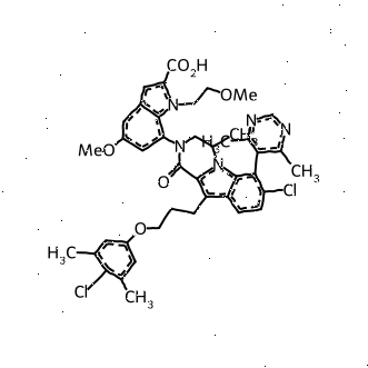 COCCn1c(C(=O)O)cc2cc(OC)cc(N3CC(C)n4c(c(CCCOc5cc(C)c(Cl)c(C)c5)c5ccc(Cl)c(-c6c(C)ncnc6C)c54)C3=O)c21